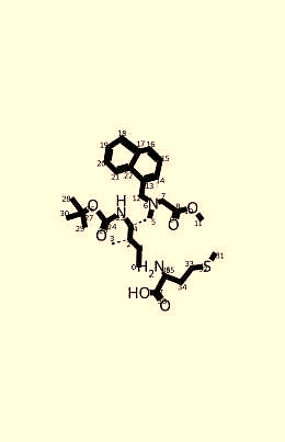 CC[C@H](C)[C@@H](CN(CC(=O)OC)Cc1cccc2ccccc12)NC(=O)OC(C)(C)C.CSCC[C@H](N)C(=O)O